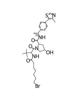 Cc1ncsc1-c1ccc([C@H](C)NC(=O)C2CC(O)CN2C(=O)C(NC(=O)CCCCCCBr)C(C)(C)C)cc1